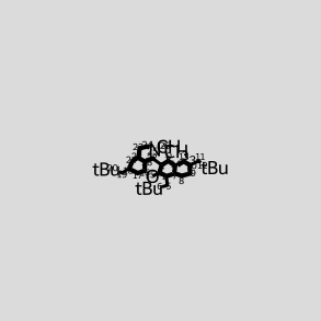 Cc1c2c(c(CC(C)(C)C)c3ccc(CC(C)(C)C)cc13)Oc1cc(CC(C)(C)C)cc3cc[n+](C)c-2c13